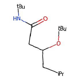 CC(C)CC(CC(=O)NC(C)(C)C)OC(C)(C)C